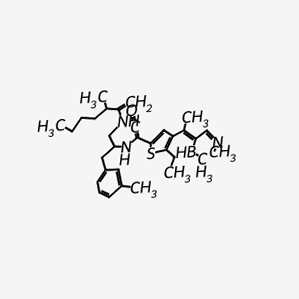 C=C(NCC(Cc1cccc(C)c1)NC(=C=O)c1cc(/C(C)=C(BC)/C=N\C)c(CC)s1)C(C)CCCC